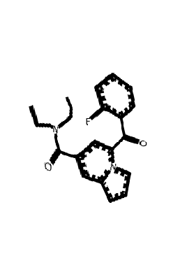 CCN(CC)C(=O)c1cc(C(=O)c2ccccc2F)n2cccc2c1